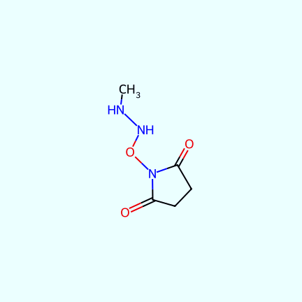 CNNON1C(=O)CCC1=O